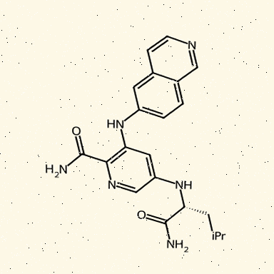 CC(C)C[C@@H](Nc1cnc(C(N)=O)c(Nc2ccc3cnccc3c2)c1)C(N)=O